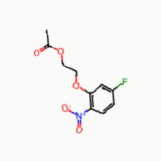 CC(=O)OCCOc1cc(F)ccc1[N+](=O)[O-]